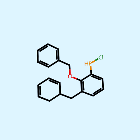 ClPc1cccc(CC2C=CC=CC2)c1OCc1ccccc1